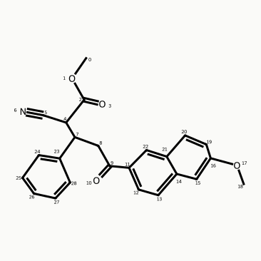 COC(=O)C(C#N)C(CC(=O)c1ccc2cc(OC)ccc2c1)c1ccccc1